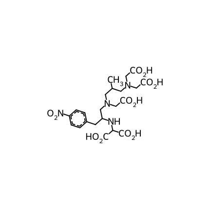 CC(CN(CC(=O)O)CC(=O)O)CN(CC(=O)O)CC(Cc1ccc([N+](=O)[O-])cc1)NC(C(=O)O)C(=O)O